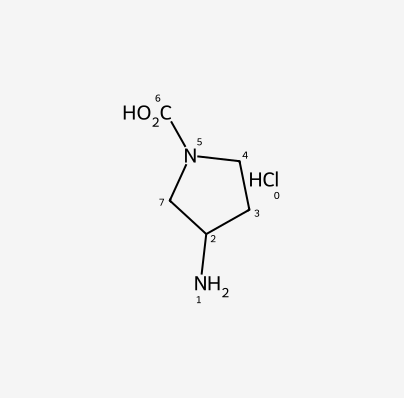 Cl.NC1CCN(C(=O)O)C1